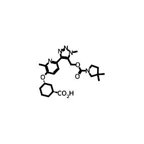 Cc1nc(-c2nnn(C)c2COC(=O)N2CCC(C)(C)C2)ccc1O[C@H]1CCC[C@H](C(=O)O)C1